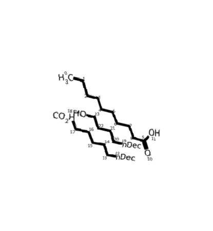 CCCCCCCCCC(=O)O.CCCCCCCCCCCCCCCC(=O)O.CCCCCCCCCCCCCCO